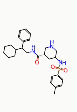 Cc1ccc(S(=O)(=O)NC2CNC[C@@H](C(=O)NCC(c3ccccc3)C3CCCCC3)C2)cc1